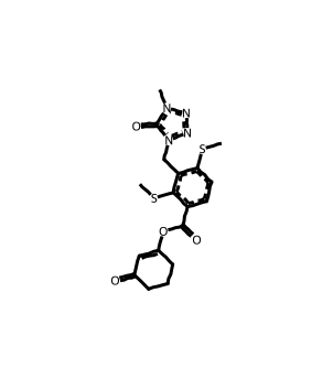 CSc1ccc(C(=O)OC2=CC(=O)CCC2)c(SC)c1Cn1nnn(C)c1=O